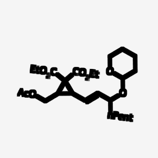 CCCCCC(C=CC1C(COC(C)=O)C1(C(=O)OCC)C(=O)OCC)OC1CCCCO1